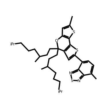 Cc1cc2c(s1)-c1sc(-c3ccc(C)c4nsnc34)cc1C(CCC(C)CCCC(C)C)(CCC(C)CCCC(C)C)O2